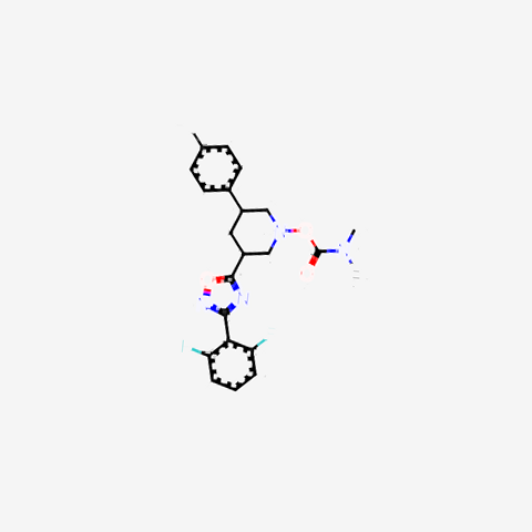 CCc1ccc(C2CC(c3nc(-c4c(F)cccc4F)no3)CN(OC(=O)N(C)CC)C2)cc1